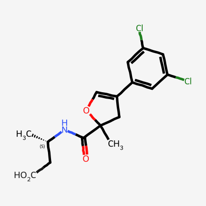 C[C@@H](CC(=O)O)NC(=O)C1(C)CC(c2cc(Cl)cc(Cl)c2)=CO1